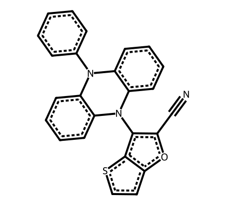 N#Cc1oc2ccsc2c1N1c2ccccc2N(c2ccccc2)c2ccccc21